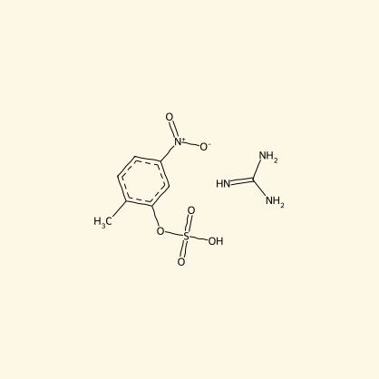 Cc1ccc([N+](=O)[O-])cc1OS(=O)(=O)O.N=C(N)N